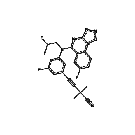 CC(C)(C#N)C#Cc1cc(F)cc(N(CC(F)F)c2nc3nncn3c3ccc(F)cc23)c1